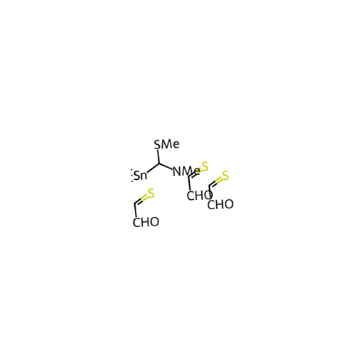 CN[CH]([Sn])SC.O=CC=S.O=CC=S.O=CC=S